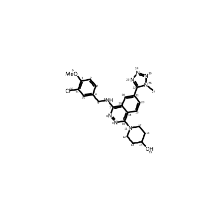 COc1ccc(CNc2nnc(N3CCC(O)CC3)c3ccc(-c4nnnn4C)cc23)cc1Cl